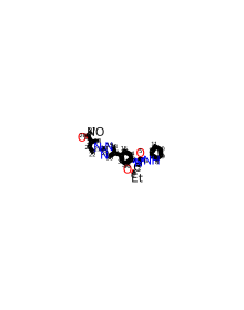 CCC1CN(C(=O)Nc2ccccc2)c2ccc(-c3cnc(N4CCC(C(=O)N=O)C4)nc3)cc2O1